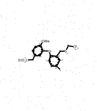 CCOC(=O)Cc1ccc(OC)c(Oc2ccc(C)cc2CSCC(F)(F)F)c1